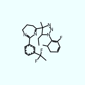 CCC1N(C2=C(F)C=CCC2C)N=NC1(C)C1=NC(c2cccc(C(C)(F)F)c2)=NCCC1